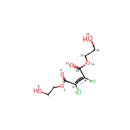 O=C(OCCO)/C(Cl)=C(/Cl)C(=O)OCCO